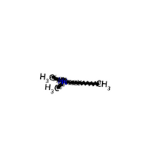 CCCCCCCCCCCCCCCCCCN1C=CN(CCCCC)C1CCCC